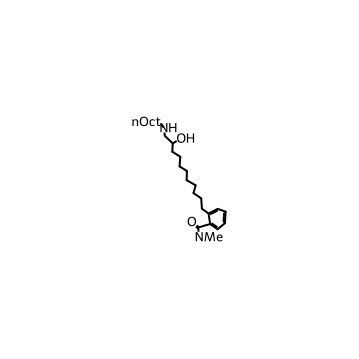 CCCCCCCCNCC(O)CCCCCCCCCc1ccccc1C(=O)NC